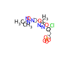 Cc1c(Oc2ccc(CC3COS(=O)(=O)OC3)cc2Cl)ncnc1OC1CCN(c2nc(C(C)C)no2)CC1